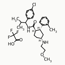 COCCN[C@@H]1CC[C@@H](C(=O)NC(c2ccc(Cl)cc2)C(C)C)[C@H](c2ccccc2C)C1.O=C(O)C(F)(F)F